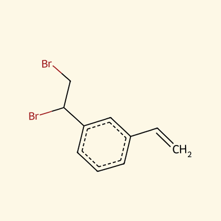 C=Cc1cccc(C(Br)CBr)c1